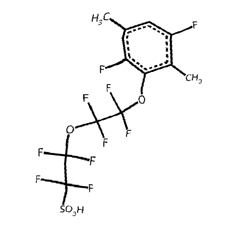 Cc1cc(F)c(C)c(OC(F)(F)C(F)(F)OC(F)(F)C(F)(F)S(=O)(=O)O)c1F